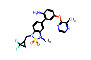 Cc1nccnc1Oc1ccc(N)c(-c2ccc3c(c2)N(C)S(=O)(=O)N3CC2CC2(F)F)c1